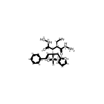 CC(C)C[C@@H](C(=O)NN)[C@@H](C(=O)NO)C(/C=C/c1ccccc1)(Cc1ccco1)S(C)(=O)=O